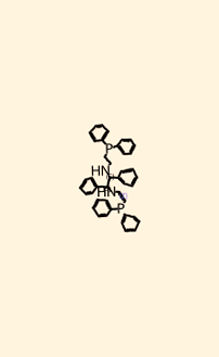 C(=C/P(c1ccccc1)c1ccccc1)/N[C@@H](c1ccccc1)[C@@H](NCCP(c1ccccc1)c1ccccc1)c1ccccc1